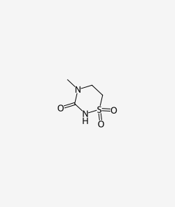 CN1CCS(=O)(=O)NC1=O